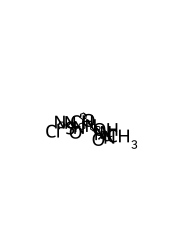 Cc1nc(-c2cncc(Cl)c2)sc1C(=O)N1CC[C@@H](C(=O)N2CCC(O)(Cn3cnc4c(ccn4C)c3=O)CC2)[C@H](c2ccccc2)C1